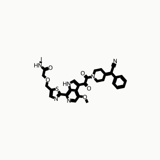 COc1cnc(-c2ncc(COCC(=O)NI)s2)c2[nH]cc(C(=O)C(=O)N3CCC(=C(C#N)c4ccccc4)CC3)c12